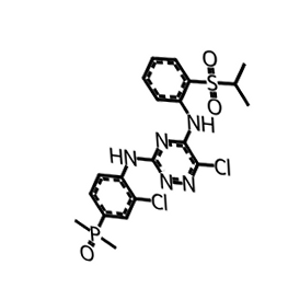 CC(C)S(=O)(=O)c1ccccc1Nc1nc(Nc2ccc(P(C)(C)=O)cc2Cl)nnc1Cl